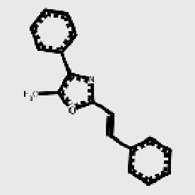 FC(F)(F)c1oc(C=Cc2ccccc2)nc1-c1ccccc1